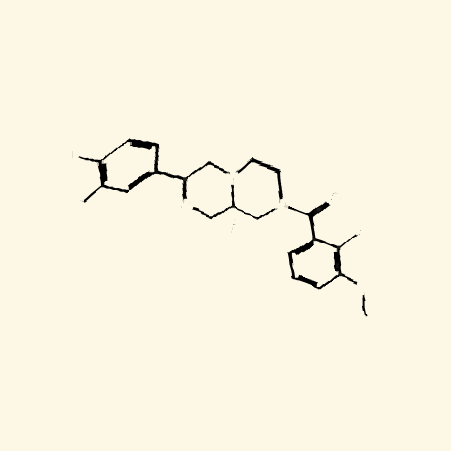 COc1cccc(C(=O)N2CCN3CC(c4ccc(F)c(Cl)c4)OC[C@@H]3C2)c1Br